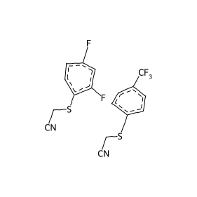 N#CCSc1ccc(C(F)(F)F)cc1.N#CCSc1ccc(F)cc1F